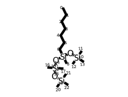 CCCCCCC[Si](C)(O[Si](C)(C)C)O[Si](C)(C)O[Si](C)(C)C